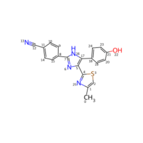 Cc1csc(-c2nc(-c3ccc(C#N)cc3)[nH]c2-c2ccc(O)cc2)n1